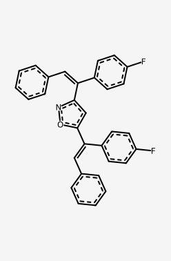 Fc1ccc(C(=Cc2ccccc2)c2cc(C(=Cc3ccccc3)c3ccc(F)cc3)on2)cc1